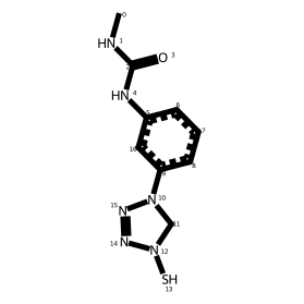 CNC(=O)Nc1cccc(N2CN(S)N=N2)c1